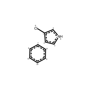 Clc1cc[nH]c1.c1ccccc1